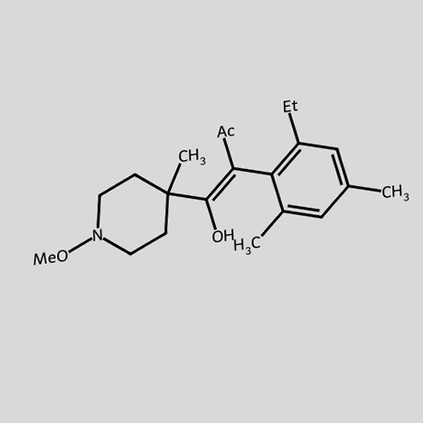 CCc1cc(C)cc(C)c1/C(C(C)=O)=C(\O)C1(C)CCN(OC)CC1